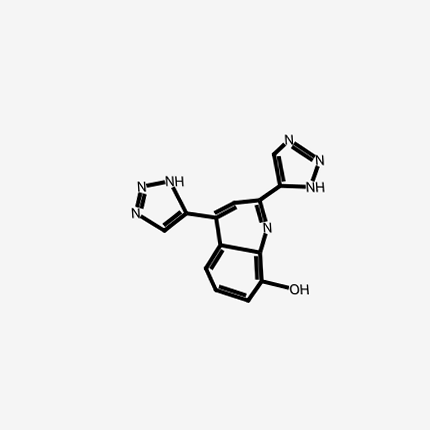 Oc1cccc2c(-c3cnn[nH]3)cc(-c3cnn[nH]3)nc12